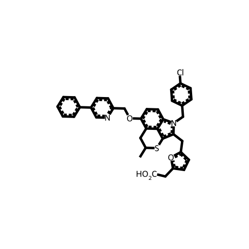 CC1Cc2c(OCc3ccc(-c4ccccc4)cn3)ccc3c2c(c(Cc2ccc(CC(=O)O)o2)n3Cc2ccc(Cl)cc2)S1